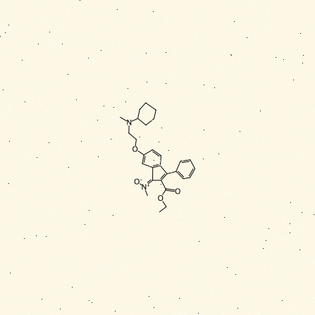 CCOC(=O)C1=C(c2ccccc2)c2ccc(OCCN(C)C3CCCCC3)cc2/C1=[N+](/C)[O-]